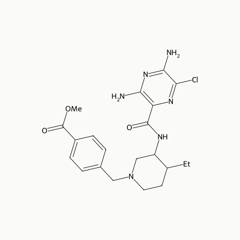 CCC1CCN(Cc2ccc(C(=O)OC)cc2)CC1NC(=O)c1nc(Cl)c(N)nc1N